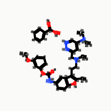 COc1cccc(OC(=O)Nc2ccc3oc(C)c(CCN(C)Cc4cc(N(C)C)cnn4)c3c2)c1.O=C(O)c1ccccc1